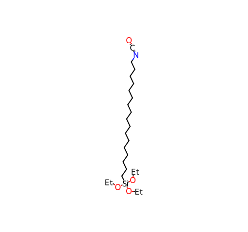 CCO[Si](CCCCCCCCCCCCCCCCCN=C=O)(OCC)OCC